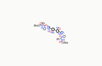 COC(=O)N[C@H](C(=O)N1CCC[C@H]1c1ncc(-c2ccc(-c3ccc(-c4cnc([C@@H]5CCCN5C(=O)[C@@H](NC(=O)OC)C(C)C)[nH]4)c4ocnc34)c3ncoc23)[nH]1)C(C)C